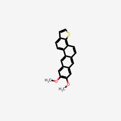 COc1cc2cc3ccc4c(ccc5ccsc54)c3cc2cc1OC